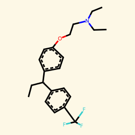 CC[C](c1ccc(OCCN(CC)CC)cc1)c1ccc(C(F)(F)F)cc1